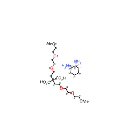 COCCOCCOCCC(CCOCCOCCOC)(C(=O)O)C(=O)O.N[C@@H]1CCCC[C@@H]1N